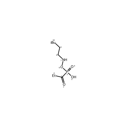 CCC(=O)P(=O)(O)ONCCC(C)CC